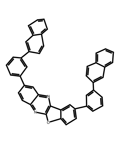 c1cc(-c2ccc3ccccc3c2)cc(-c2ccc3nc4oc5ccc(-c6cccc(-c7ccc8ccccc8c7)c6)cc5c4nc3c2)c1